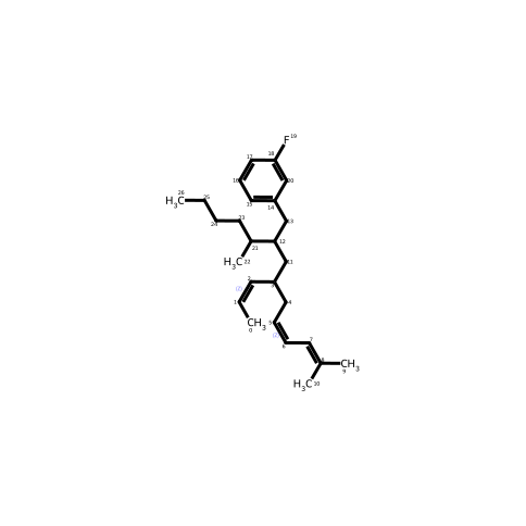 C/C=C\C(C/C=C\C=C(C)C)CC(Cc1cccc(F)c1)C(C)CCCC